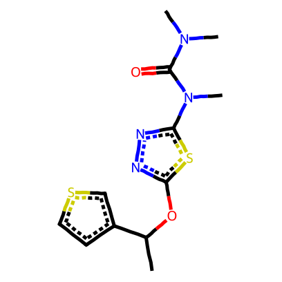 CC(Oc1nnc(N(C)C(=O)N(C)C)s1)c1ccsc1